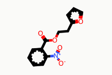 O=C(OCCc1ccco1)c1ccccc1[N+](=O)[O-]